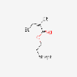 CCC=C(CC)C(=O)OCCCCCCCCC